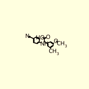 COc1cc(C)cc(C(Nc2ccc(C#N)cc2)C(=O)O)c1